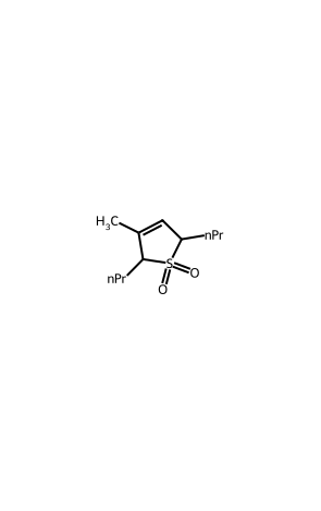 CCCC1C=C(C)C(CCC)S1(=O)=O